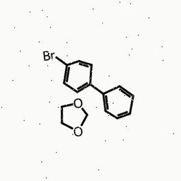 Brc1ccc(-c2ccccc2)cc1.C1COCO1